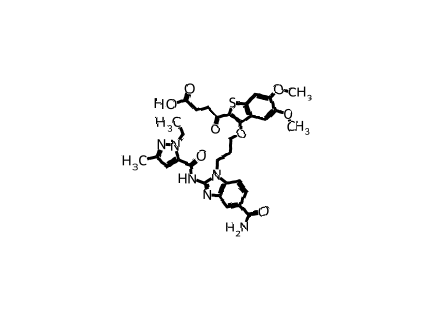 CCn1nc(C)cc1C(=O)Nc1nc2cc(C(N)=O)ccc2n1CCCOc1c(C(=O)CCC(=O)O)sc2cc(OC)c(OC)cc12